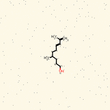 C=C(C)C=CCCC(C)CC[CH]O